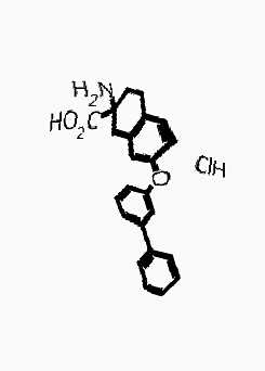 Cl.NC1(C(=O)O)CCc2ccc(Oc3cccc(-c4ccccc4)c3)cc2C1